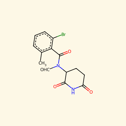 Cc1cccc(Br)c1C(=O)N(C=O)C1CCC(=O)NC1=O